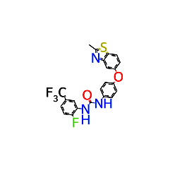 Cc1nc2cc(Oc3ccc(NC(=O)Nc4cc(C(F)(F)F)ccc4F)cc3)ccc2s1